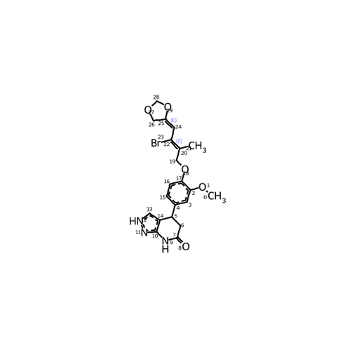 COc1cc(C2CC(=O)Nc3n[nH]cc32)ccc1OC/C(C)=C(Br)/C=C1\COCO1